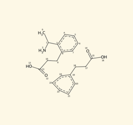 CC(N)c1ccccc1CCC(=O)O.O=C(O)CCc1ccccc1